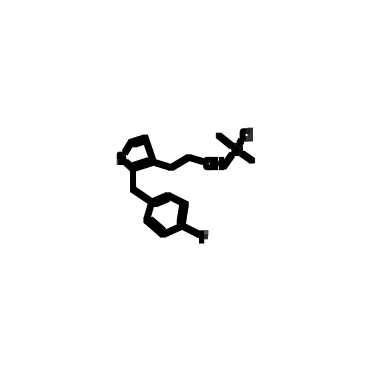 C[Si](C)(C)Cl.OCCc1ccsc1Cc1ccc(F)cc1